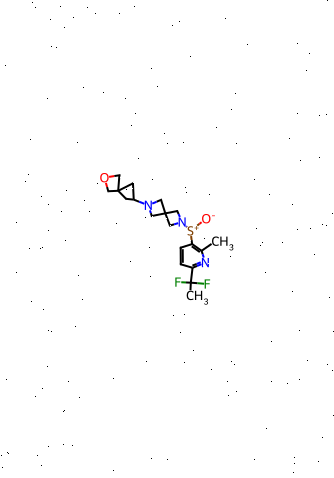 Cc1nc(C(C)(F)F)ccc1[S+]([O-])N1CC2(CN(C3CC4(COC4)C3)C2)C1